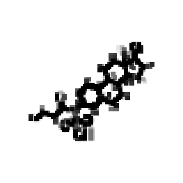 CCCC(=O)N(c1ccc2c(c1)CCC1C2CC[C@]2(C)C(=O)CCC12)S(=O)(=O)O